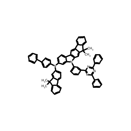 CC1(C)c2ccccc2-c2ccc(N(c3ccc(-c4ccccc4)cc3)c3ccc4c5cc6c(cc5n(-c5cccc(-c7nc(-c8ccccc8)nc(-c8ccccc8)n7)c5)c4c3)C(C)(C)c3ccccc3-6)cc21